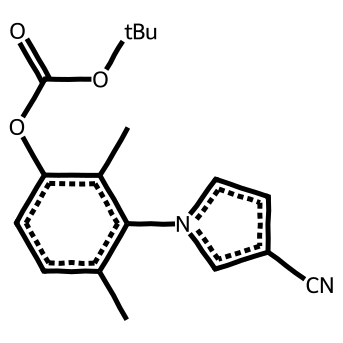 Cc1ccc(OC(=O)OC(C)(C)C)c(C)c1-n1ccc(C#N)c1